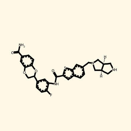 NC(=O)c1ccc2c(c1)OCC(c1ccc(F)c(NC(=O)c3cc4ccc(CN5C[C@H]6CNC[C@H]6C5)cc4s3)c1)O2